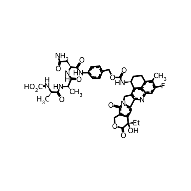 CC[C@@]1(O)C(=O)OCc2c1cc1n(c2=O)Cc2c-1nc1cc(F)c(C)c3c1c2[C@@H](NC(=O)OCc1ccc(NC(=O)[C@H](CC(N)=O)NC(=O)[C@H](C)NC(=O)[C@H](C)NC(=O)O)cc1)CC3